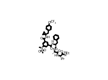 CCNC(=O)[C@@H](NC(=O)[C@H](C)NC[C@H](Cc1ccccc1)NC(=O)c1cc(C(=O)NC2(Cc3ccc(OC(F)(F)F)cc3)CC2)cc(N(C)S(C)(=O)=O)c1)C(C)C